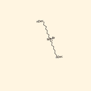 CCCCCCCCCCCCCCCCCCC(Br)CCCCCCCCCCCCCCCCCC.N